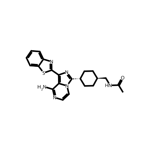 CC(=O)NC[C@H]1CC[C@H](c2nc(-c3nc4ccccc4s3)c3c(N)nccn32)CC1